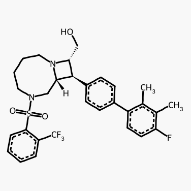 Cc1c(F)ccc(-c2ccc([C@@H]3[C@@H](CO)N4CCCCN(S(=O)(=O)c5ccccc5C(F)(F)F)C[C@@H]34)cc2)c1C